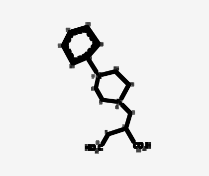 O=C(O)CC(CN1CCN(c2ccccc2)CC1)C(=O)O